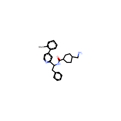 COc1ccccc1-c1ccnc(C(Cc2ccccc2)NC(=O)C2CCC(CN)CC2)c1